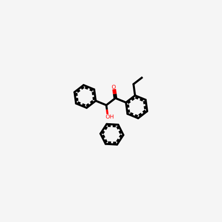 CCc1ccccc1C(=O)C(O)c1ccccc1.c1ccccc1